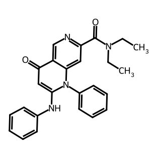 CCN(CC)C(=O)c1cc2c(cn1)c(=O)cc(Nc1ccccc1)n2-c1ccccc1